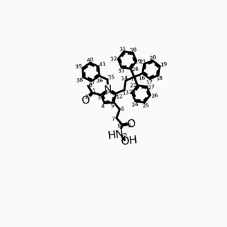 CC(=O)c1cc(CCC(=O)NO)c(CCC(c2ccccc2)(c2ccccc2)c2ccccc2)n1Cc1ccccc1